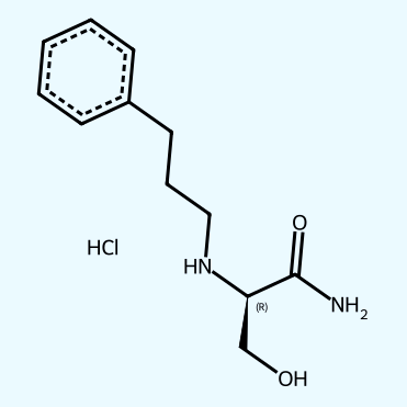 Cl.NC(=O)[C@@H](CO)NCCCc1ccccc1